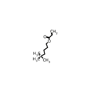 C=CC(=O)OCCCC[Si](C)(C)C